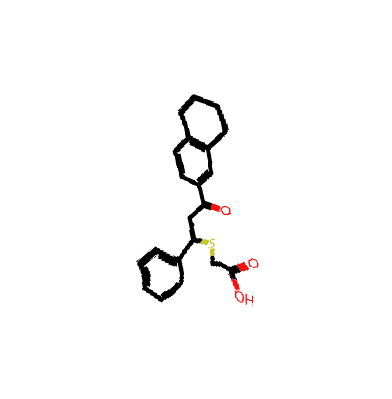 O=C(O)CSC(CC(=O)c1ccc2c(c1)CCCC2)c1ccccc1